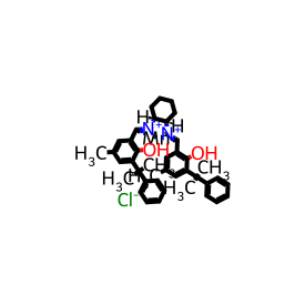 Cc1cc(C=[N+]2[Mn][N+](=Cc3cc(C)cc(C(C)(C)c4ccccc4)c3O)[C@@H]3CCCC[C@H]32)c(O)c(C(C)(C)c2ccccc2)c1.[Cl-]